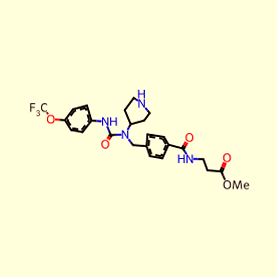 COC(=O)CCNC(=O)c1ccc(CN(C(=O)Nc2ccc(OC(F)(F)F)cc2)C2CCNCC2)cc1